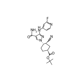 CC(C)(C)OC(=O)[C@H]1CC[C@H](n2cc(C(N)=O)c(Nc3ccnc(F)c3)n2)[C@@H](C#N)C1